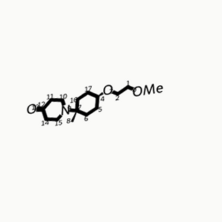 COCCO[C@H]1CC[C@](C)(N2CCC(=O)CC2)CC1